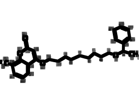 CC(OCCCCCCCCCOc1cc(=O)oc2c(C(F)(F)F)cccc12)c1ccccc1